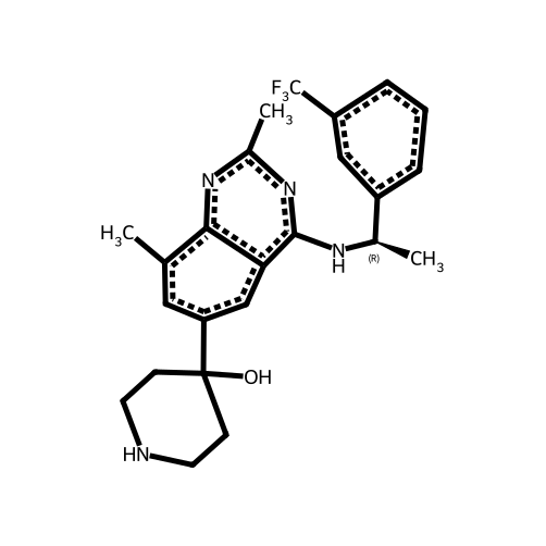 Cc1nc(N[C@H](C)c2cccc(C(F)(F)F)c2)c2cc(C3(O)CCNCC3)cc(C)c2n1